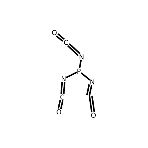 O=C=NP(N=C=O)N=C=O